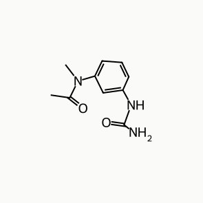 CC(=O)N(C)c1cccc(NC(N)=O)c1